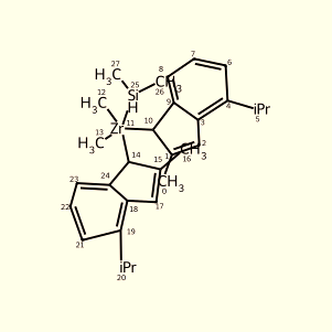 CC1=Cc2c(C(C)C)cccc2[CH]1[Zr]([CH3])([CH3])([CH]1C(C)=Cc2c(C(C)C)cccc21)[SiH](C)C